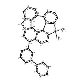 CC1(C)c2cccc3c2-c2c1ccc1c(-c4cccc(-c5ccccc5)c4)cc4sc5cccc-3c5c4c21